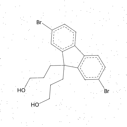 OCCCC1(CCCO)c2cc(Br)ccc2-c2ccc(Br)cc21